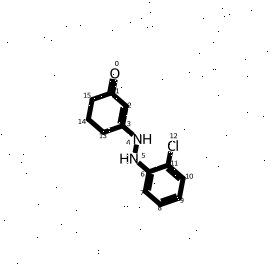 O=C1C=C(NNc2ccccc2Cl)CCC1